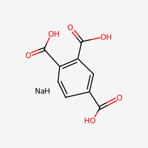 O=C(O)c1ccc(C(=O)O)c(C(=O)O)c1.[NaH]